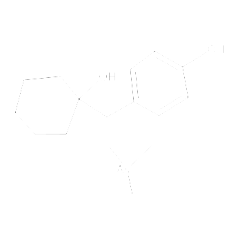 C[As](C)C[C@@H](c1ccc(O)cc1)C1(O)CCCCC1